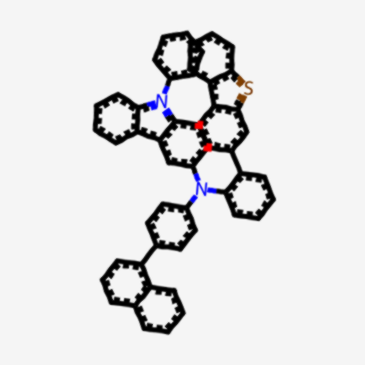 c1ccc(-n2c3ccccc3c3cc(N(c4ccc(-c5cccc6ccccc56)cc4)c4ccccc4-c4ccc5c(c4)sc4ccccc45)ccc32)cc1